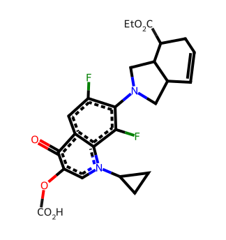 CCOC(=O)C1CC=CC2CN(c3c(F)cc4c(=O)c(OC(=O)O)cn(C5CC5)c4c3F)CC21